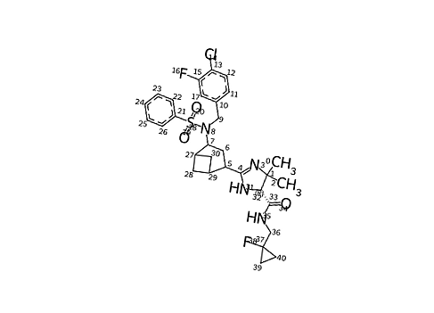 CC1(C)N=C(C2CC(N(Cc3ccc(Cl)c(F)c3)S(=O)(=O)c3ccccc3)C3CC2C3)N[C@H]1C(=O)NCC1(F)CC1